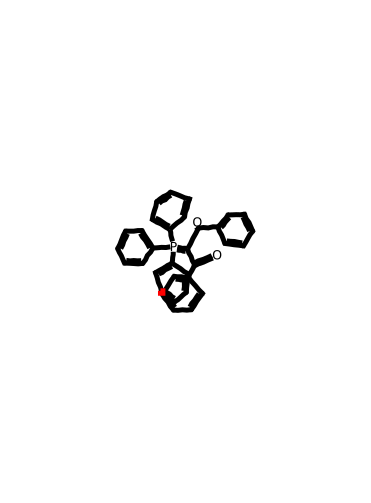 O=C(C(C(=O)c1ccccc1)=P(c1ccccc1)(c1ccccc1)c1ccccc1)c1ccccc1